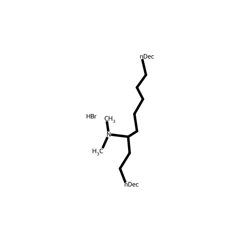 Br.CCCCCCCCCCCCCCCC(CCCCCCCCCCCC)N(C)C